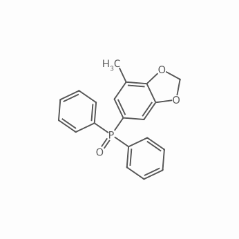 Cc1cc(P(=O)(c2ccccc2)c2ccccc2)cc2c1OCO2